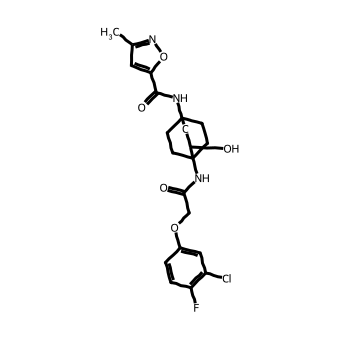 Cc1cc(C(=O)NC23CCC(NC(=O)COc4ccc(F)c(Cl)c4)(CC2)C(O)C3)on1